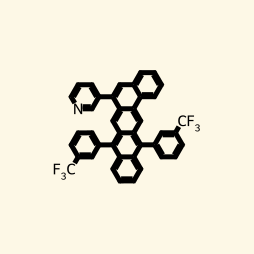 FC(F)(F)c1cccc(-c2c3ccccc3c(-c3cccc(C(F)(F)F)c3)c3cc4c(cc23)c(-c2cccnc2)cc2ccccc24)c1